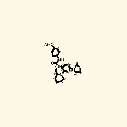 COc1ccc(NC(=O)NCC2CCCCN2c2ccnc(-n3ccnc3)n2)cc1